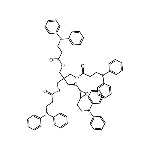 O=C(CCP(c1ccccc1)c1ccccc1)OCC(COC(=O)CCP(c1ccccc1)c1ccccc1)(COC(=O)CCP(c1ccccc1)c1ccccc1)COC1OC1CCP(c1ccccc1)c1ccccc1